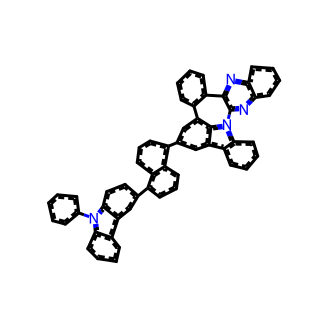 c1ccc(-n2c3ccccc3c3cc(-c4cccc5c(-c6cc7c8c(c6)c6ccccc6n8-c6nc8ccccc8nc6-c6ccccc6-7)cccc45)ccc32)cc1